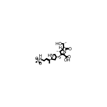 C/C(=C\CNS(C)(=O)=O)[C@@H]1C[C@H](SC2=C(C(=O)O)N3C(=O)[C@H]([C@@H](C)O)[C@H]3[C@H]2C)CN1